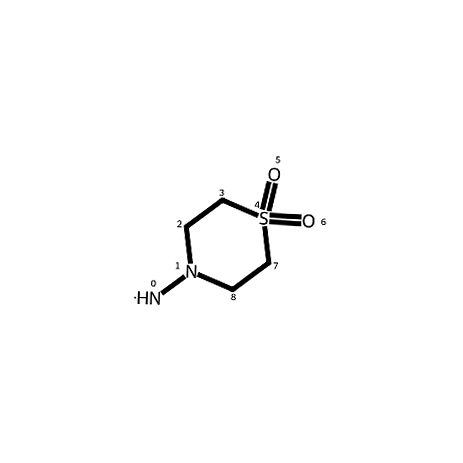 [NH]N1CCS(=O)(=O)CC1